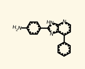 Nc1ccc(-c2nc3c(-c4ccccc4)ccnc3[nH]2)cc1